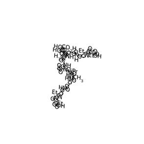 CCc1c2c(nc3ccc(OCNC(=O)OCc4ccc(NC(=O)[C@H](C)NC(=O)[C@@H](NC(=O)CN(CCN5C(=O)C=CC5=O)CC(=O)NCCC(=O)N(C)CC(=O)Nc5cc(COC(=O)NCOc6ccc7nc8c(c(CC)c7c6)Cn6c-8cc7c(c6=O)COC(=O)[C@]7(O)CC)ccc5O[C@@H]5O[C@H](C(=O)O)[C@@H](O)[C@H](O)[C@H]5O)C(C)C)cc4)cc13)-c1cc3c(c(=O)n1C2)COC(=O)[C@]3(O)CC